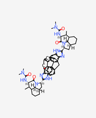 CC1C2CCC[C@H]3C[C@@H](c4nc5cc(-c6cc7ccc6CCc6ccc(c(-c8ccc9[nH]c([C@@H]%10C[C@@H]%11CCCC%12C(C)[C@H](NC(=O)N(C)C)C(=O)N%10[C@@H]%12%11)nc9c8)c6)CC7)ccc5[nH]4)N(C(=O)[C@H]1NC(=O)N(C)C)[C@@H]23